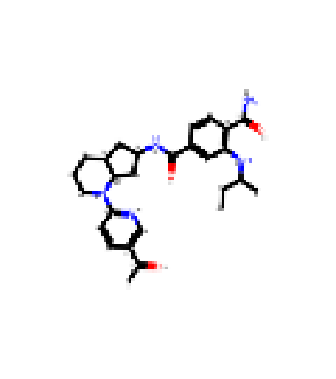 CCC(C)Nc1cc(C(=O)NC2CC3CCCN(c4ccc(C(C)=O)cn4)C3C2)ccc1C(N)=O